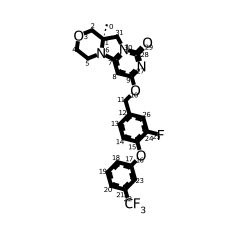 C[C@@]12COCCN1c1cc(OCc3ccc(Oc4cccc(C(F)(F)F)c4)c(F)c3)nc(=O)n1C2